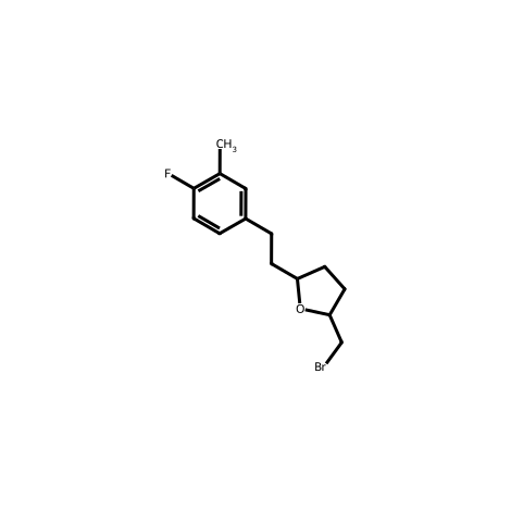 Cc1cc(CCC2CCC(CBr)O2)ccc1F